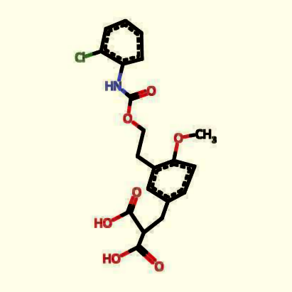 COc1ccc(CC(C(=O)O)C(=O)O)cc1CCOC(=O)Nc1ccccc1Cl